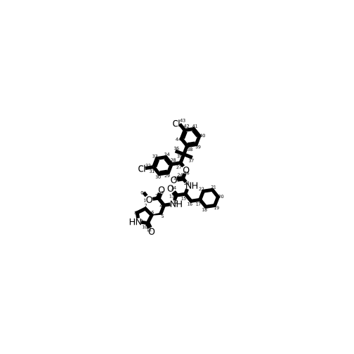 COC(=O)C(C[C@@H]1CCNC1=O)NC(=O)C(CC1CCCCC1)NC(=O)OC(c1ccc(Cl)cc1)C(C)(C)c1cccc(Cl)c1